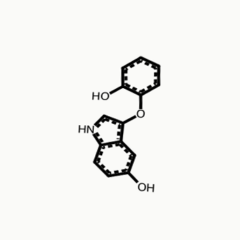 Oc1ccc2[nH]cc(Oc3ccccc3O)c2c1